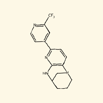 FC(F)(F)c1cc(-c2ccc3c(n2)NC2CCCN3C2)ccn1